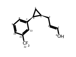 OC=CC[C@@H]1C[C@@H]1c1cccc(C(F)(F)F)c1